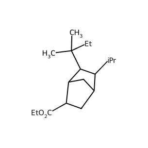 CCOC(=O)C1CC2CC1C(C(C)(C)CC)C2C(C)C